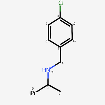 CC(C)C(C)NCc1ccc(Cl)cc1